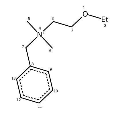 CCOCC[N+](C)(C)Cc1ccccc1